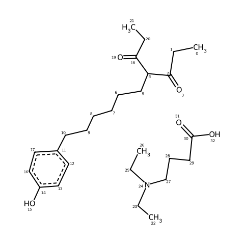 CCC(=O)C(CCCCCCc1ccc(O)cc1)C(=O)CC.CCN(CC)CCCC(=O)O